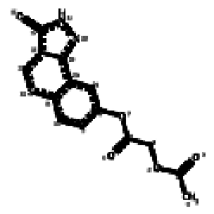 CC(=O)OCC(=O)Oc1ccc2scc3c(=O)[nH]nc-3c2c1